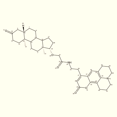 C[C@]12CCC3C(CC[C@H]4CC(=O)CC[C@]34C)C1CC[C@@H]2OCC(=O)NCCc1cc(=O)oc2c3c4c(cc12)CCCN4CCC3